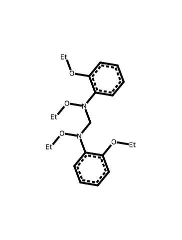 CCOc1ccccc1N(CN(OCC)c1ccccc1OCC)OCC